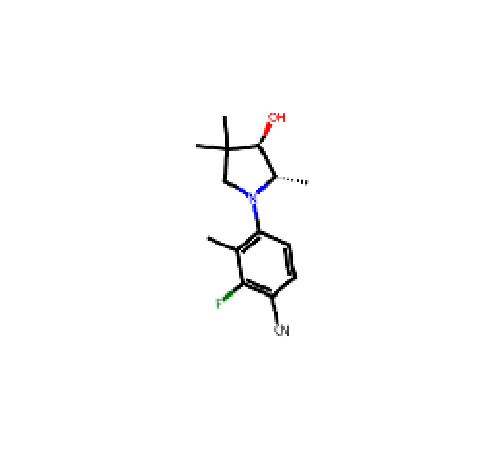 Cc1c(N2CC(C)(C)[C@@H](O)[C@@H]2C)ccc(C#N)c1F